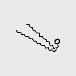 CCCCCCCCCCCCCCCCCCN1C=CN(Cc2ccccc2)C1CCCCCCCCCCCCCCCC